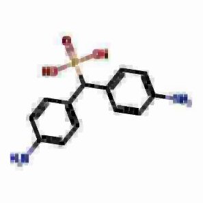 Nc1ccc(C(c2ccc(N)cc2)P(=O)(O)O)cc1